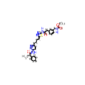 CC(C(=O)Nc1ccc(CCCCc2nnc(NC(=O)Cc3cccc(CNC(=O)OC(C)(C)C)c3)s2)nn1)C1=CCCC=C1